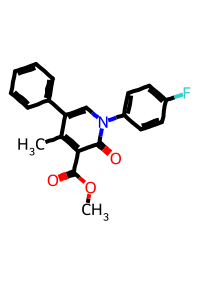 COC(=O)c1c(C)c(-c2ccccc2)cn(-c2ccc(F)cc2)c1=O